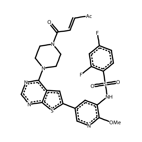 COc1ncc(-c2cc3c(N4CCN(C(=O)C=CC(C)=O)CC4)ncnc3s2)cc1NS(=O)(=O)c1ccc(F)cc1F